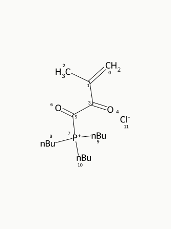 C=C(C)C(=O)C(=O)[P+](CCCC)(CCCC)CCCC.[Cl-]